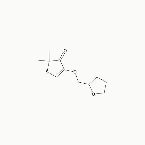 CC1(C)SC=C(OCC2CCCO2)C1=O